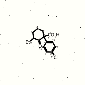 CCC1CCCC(C(=O)O)(c2ccc(Cl)cc2)C1=O